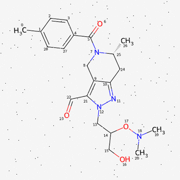 Cc1ccc(C(=O)N2Cc3c(nn(CC(CO)ON(C)C)c3C=O)C[C@H]2C)cc1